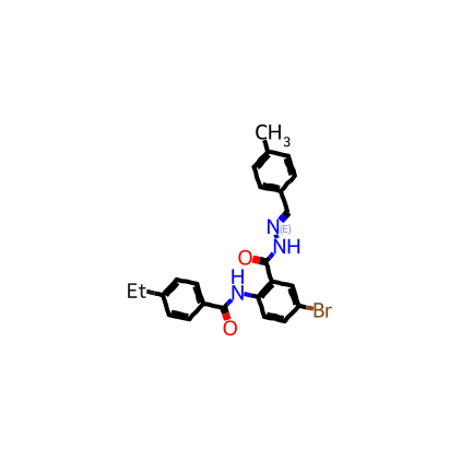 CCc1ccc(C(=O)Nc2ccc(Br)cc2C(=O)N/N=C/c2ccc(C)cc2)cc1